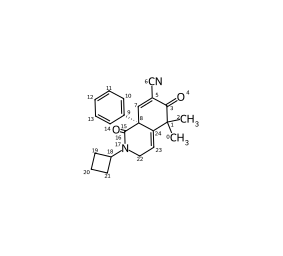 CC1(C)C(=O)C(C#N)=C[C@]2(c3ccccc3)C(=O)N(C3CCC3)CC=C12